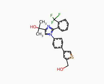 CC(C)(O)c1cn(-c2ccc(-c3csc(CO)c3)cc2)c(-c2ccccc2C(F)(F)F)n1